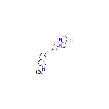 CC(C)(C)Nc1ccc2ccc(CCC3CCC(n4ccc5c(Cl)ncnc54)C3)cc2n1